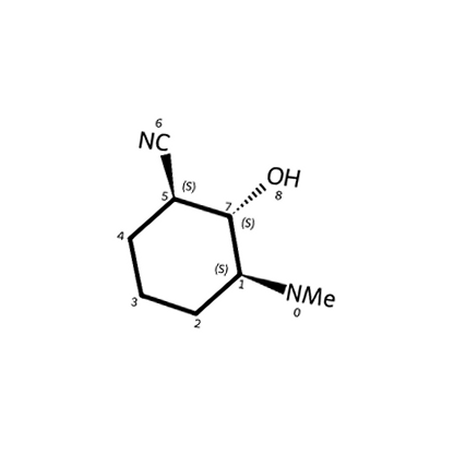 CN[C@H]1CCC[C@@H](C#N)[C@@H]1O